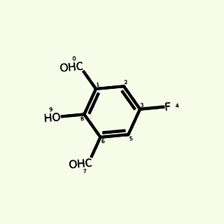 O=Cc1cc(F)cc(C=O)c1O